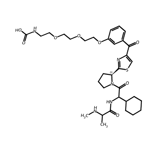 CNC(C)C(=O)NC(C(=O)N1CCC[C@H]1c1nc(C(=O)c2cccc(OCCOCCOCCNC(=O)O)c2)cs1)C1CCCCC1